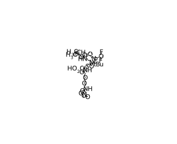 CC(C)(C)[C@H](c1cc(-c2cc(F)ccc2F)cn1Cc1ccccc1)N(CCCNC(=O)OCC[Si](C)(C)C)C(=O)CSC[C@H](NC(=O)CCOCCOCCNC(=O)CN1C(=O)C=CC1=O)C(=O)O